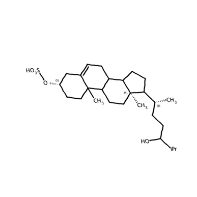 CC(C)C(O)CC[C@@H](C)C1CCC2C3CC=C4C[C@@H](OS(=O)(=O)O)CCC4(C)C3CC[C@@]21C